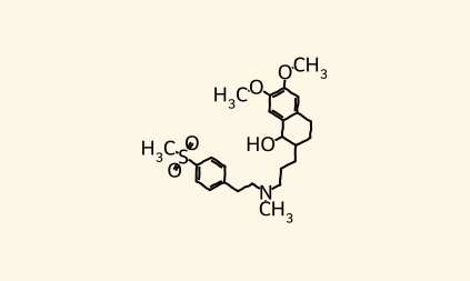 COc1cc2c(cc1OC)C(O)C(CCCN(C)CCc1ccc(S(C)(=O)=O)cc1)CC2